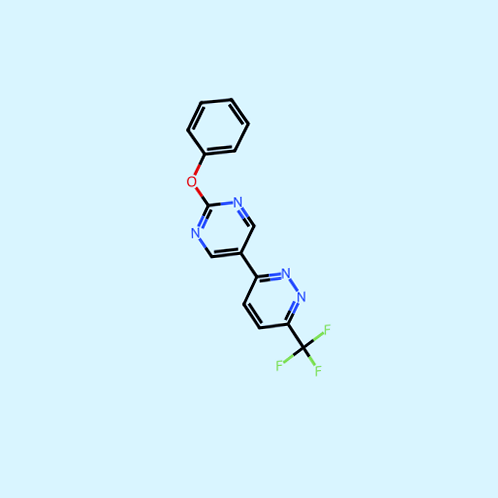 FC(F)(F)c1ccc(-c2cnc(Oc3ccccc3)nc2)nn1